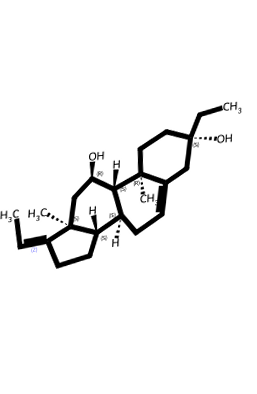 C/C=C1/CC[C@H]2[C@@H]3CC=C4C[C@](O)(CC)CC[C@]4(C)[C@H]3[C@H](O)C[C@]12C